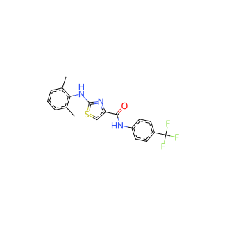 Cc1cccc(C)c1Nc1nc(C(=O)Nc2ccc(C(F)(F)F)cc2)cs1